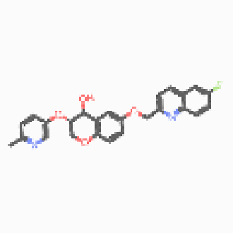 Cc1ccc(O[C@@H]2COc3ccc(OCc4ccc5cc(F)ccc5n4)cc3[C@@H]2O)cn1